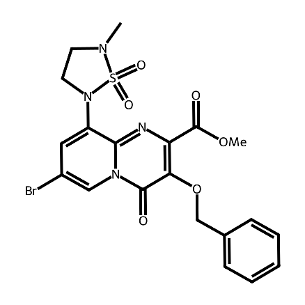 COC(=O)c1nc2c(N3CCN(C)S3(=O)=O)cc(Br)cn2c(=O)c1OCc1ccccc1